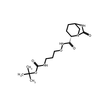 CC(C)(C)OC(=O)NCCCONC(=O)[C@@H]1CCC2CN1C(=O)N2